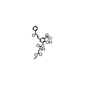 CCOC(=O)CNC(=O)Oc1cc(C=CC(=O)c2ccccc2)cc([N+](=O)[O-])c1O